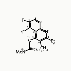 CCc1nc2ccc(F)c(F)c2c(OC(=O)NC)c1C